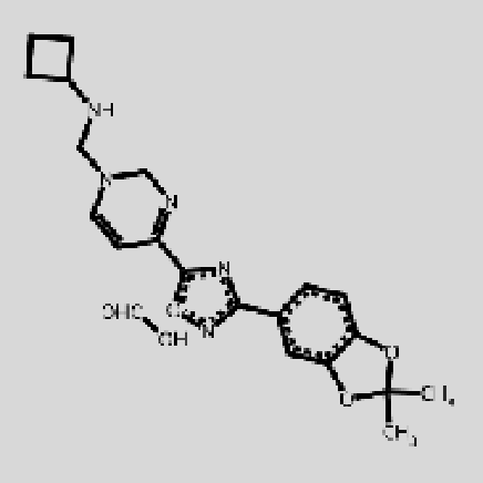 CC1(C)Oc2ccc(-c3noc(C4=NCN(CNC5CCC5)C=C4)n3)cc2O1.O=CO